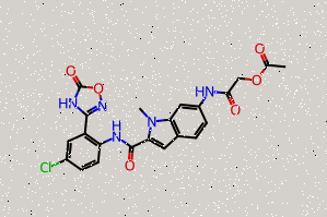 CC(=O)OCC(=O)Nc1ccc2cc(C(=O)Nc3ccc(Cl)cc3-c3noc(=O)[nH]3)n(C)c2c1